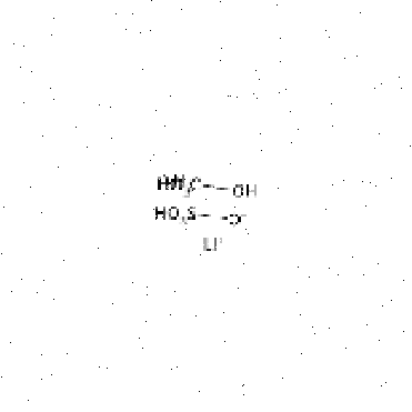 N.O=C(O)O.O=S(=O)([O-])O.[Li+]